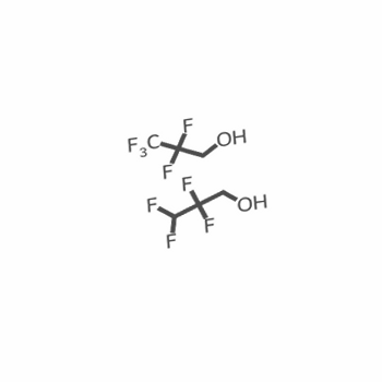 OCC(F)(F)C(F)(F)F.OCC(F)(F)C(F)F